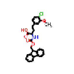 COc1cc(CCC(NC(=O)OCC2c3ccccc3-c3ccccc32)C(=O)O)ccc1Cl